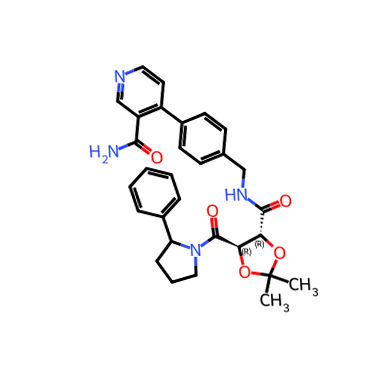 CC1(C)O[C@@H](C(=O)NCc2ccc(-c3ccncc3C(N)=O)cc2)[C@H](C(=O)N2CCCC2c2ccccc2)O1